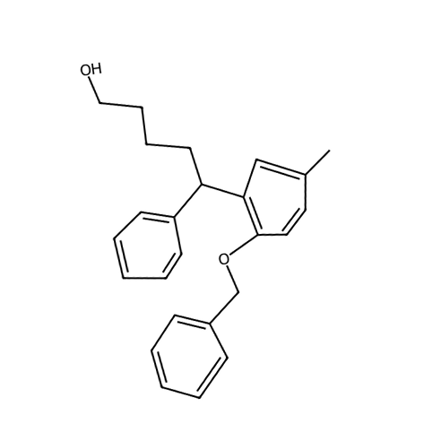 Cc1ccc(OCc2ccccc2)c(C(CCCCO)c2ccccc2)c1